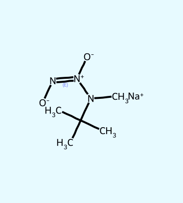 CN(/[N+]([O-])=N\[O-])C(C)(C)C.[Na+]